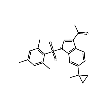 CC(=O)c1cn(S(=O)(=O)c2c(C)cc(C)cc2C)c2cc(C3(C)CC3)ccc12